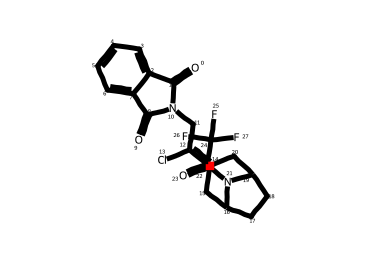 O=C1c2ccccc2C(=O)N1CC(Cl)=C1CC2CCC(C1)N2C(=O)C(F)(F)F